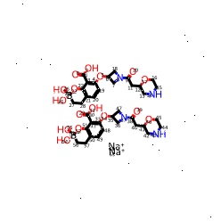 O=C(O)c1c(OC2CN(C(=O)CC3CNCCO3)C2)ccc2c1O[B-](O)(O)CC2.O=C(O)c1c(OC2CN(C(=O)CC3CNCCO3)C2)ccc2c1O[B-](O)(O)CC2.[Na+].[Na+]